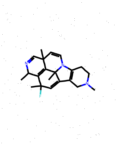 CC1N=CC2(C)C=CN3C4=C(CN(C)CC4)C4=CC(C)(F)C1=C2C43C